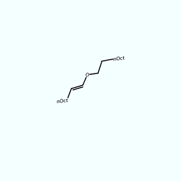 CCCCCCCCC=COCCCCCCCCCC